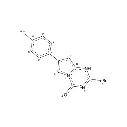 CCCCc1nc(=O)n2nc(-c3ccc(F)cc3)cc2[nH]1